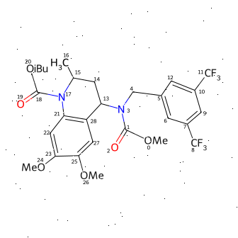 COC(=O)N(Cc1cc(C(F)(F)F)cc(C(F)(F)F)c1)C1CC(C)N(C(=O)OCC(C)C)c2cc(OC)c(OC)cc21